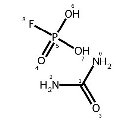 NC(N)=O.O=P(O)(O)F